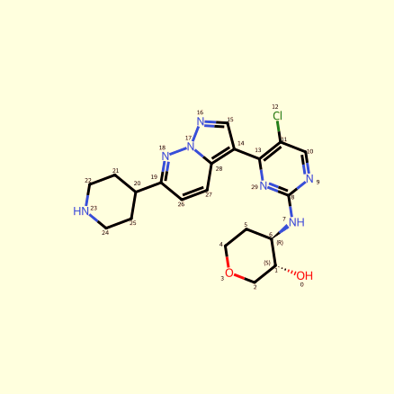 O[C@@H]1COCC[C@H]1Nc1ncc(Cl)c(-c2cnn3nc(C4CCNCC4)ccc23)n1